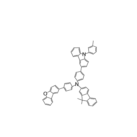 Cc1cccc(-n2c3ccccc3c3cc(-c4ccc(N(c5ccc(-c6ccc7oc8ccccc8c7c6)cc5)c5ccc6c(c5)C(C)(C)c5ccccc5-6)cc4)ccc32)c1